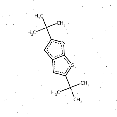 CC(C)(C)c1cc2cc(C(C)(C)C)sc2s1